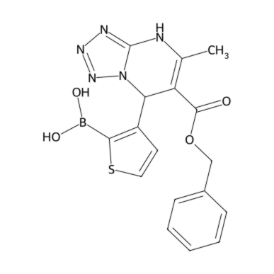 CC1=C(C(=O)OCc2ccccc2)C(c2ccsc2B(O)O)n2nnnc2N1